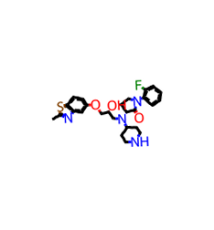 Cc1nc2cc(OC[C@H](O)CN(C3CCNCC3)[C@@H]3CCN(c4ccccc4F)C3=O)ccc2s1